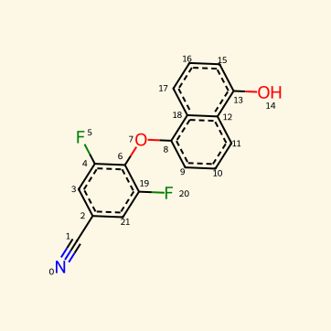 N#Cc1cc(F)c(Oc2cccc3c(O)cccc23)c(F)c1